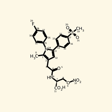 Cc1c(CC(=O)N[C@@H](CO[N+](=O)[O-])C(=O)O)cc(-c2ccc(S(C)(=O)=O)cc2)n1-c1ccc(F)cc1